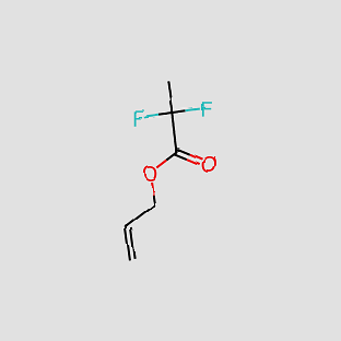 C=CCOC(=O)C(C)(F)F